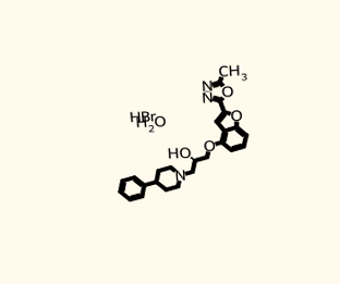 Br.Cc1nnc(-c2cc3c(OC[C@@H](O)CN4CCC(c5ccccc5)CC4)cccc3o2)o1.O